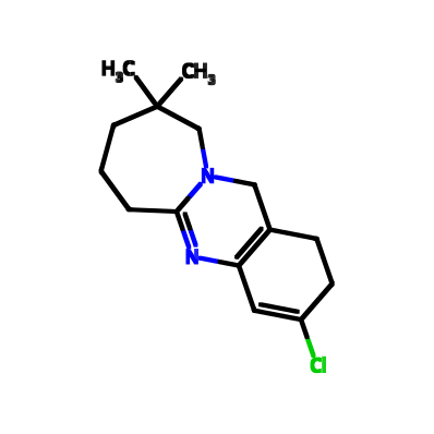 CC1(C)CCCC2=NC3=C(CCC(Cl)=C3)CN2C1